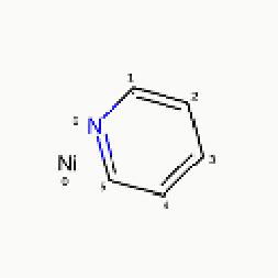 [Ni].[c]1ccccn1